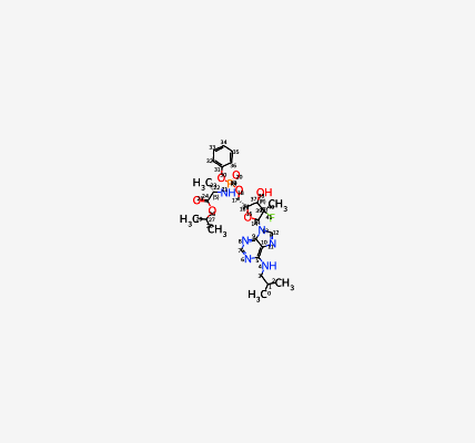 CC(C)CNc1ncnc2c1ncn2[C@@H]1O[C@H](CO[P@@](=O)(N[C@@H](C)C(=O)OC(C)C)Oc2ccccc2)[C@@H](O)[C@@]1(C)F